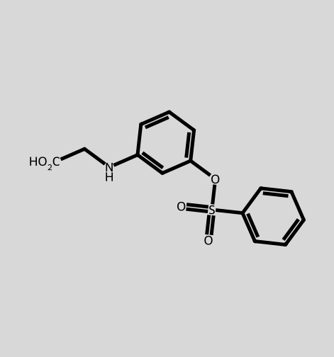 O=C(O)CNc1cccc(OS(=O)(=O)c2ccccc2)c1